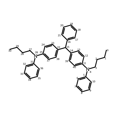 CCCCN(c1ccccc1)c1ccc(C(c2ccccc2)c2ccc(N(CCCC)c3ccccc3)cc2)cc1